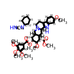 COC(=O)[C@H]1[C@H]2C[C@@H]3c4[nH]c5cc(OC)ccc5c4CCN3C[C@H]2C[C@@H](OC(=O)c2cc(OC)c(OC)c(OC)c2)[C@@H]1OC.N=C=NC1CCCCC1